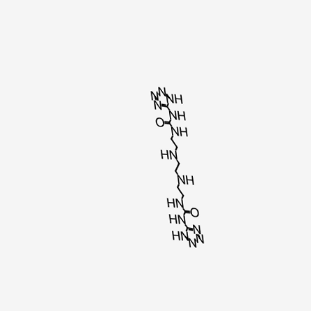 O=C(NCCNCCNCCNC(=O)Nc1nnn[nH]1)Nc1nnn[nH]1